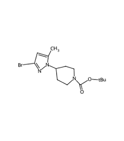 Cc1cc(Br)nn1C1CCN(C(=O)OC(C)(C)C)CC1